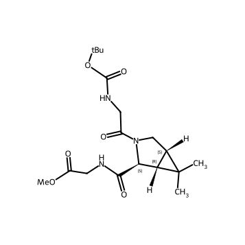 COC(=O)CNC(=O)[C@@H]1[C@@H]2[C@H](CN1C(=O)CNC(=O)OC(C)(C)C)C2(C)C